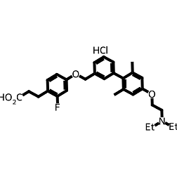 CCN(CC)CCOc1cc(C)c(-c2cccc(COc3ccc(CCC(=O)O)c(F)c3)c2)c(C)c1.Cl